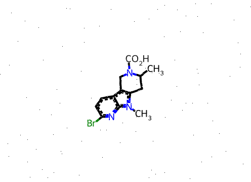 CC1Cc2c(c3ccc(Br)nc3n2C)CN1C(=O)O